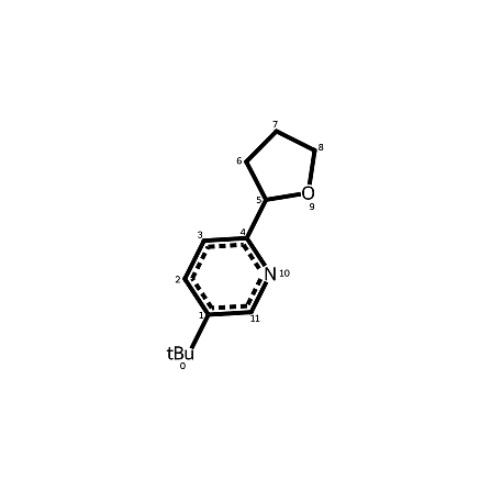 CC(C)(C)c1ccc(C2CCCO2)nc1